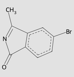 CC1=NC(=O)c2ccc(Br)cc21